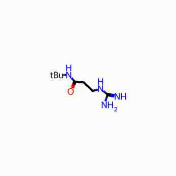 CC(C)(C)NC(=O)CCNC(=N)N